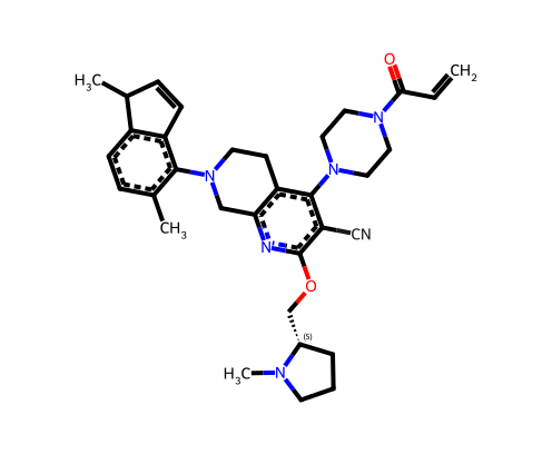 C=CC(=O)N1CCN(c2c(C#N)c(OC[C@@H]3CCCN3C)nc3c2CCN(c2c(C)ccc4c2C=CC4C)C3)CC1